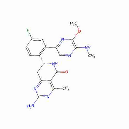 CNc1ncc(-c2cc(F)ccc2[C@H]2Cc3nc(N)nc(C)c3C(=O)N2)nc1OC